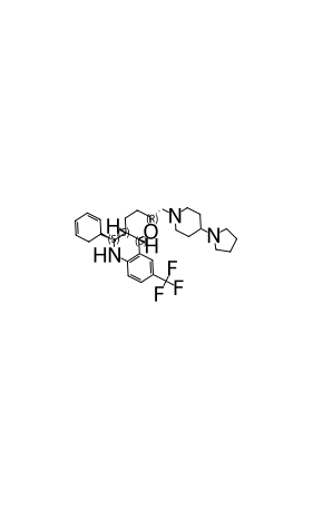 FC(F)(F)c1ccc2c(c1)[C@H]1O[C@@H](CN3CCC(N4CCCC4)CC3)CC[C@H]1[C@H](C1C=CC=CC1)N2